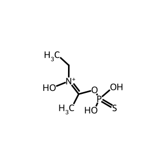 CC[N+](O)=C(C)OP(O)(O)=S